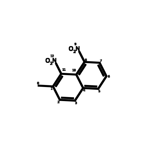 Cc1ccc2cccc([N+](=O)[O-])c2c1[N+](=O)[O-]